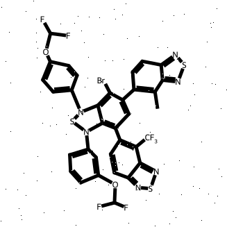 Cc1c(-c2[c]c(-c3ccc4nsnc4c3C(F)(F)F)c3c(c2Br)N(c2ccc(OC(F)F)cc2)SN3c2cccc(OC(F)F)c2)ccc2nsnc12